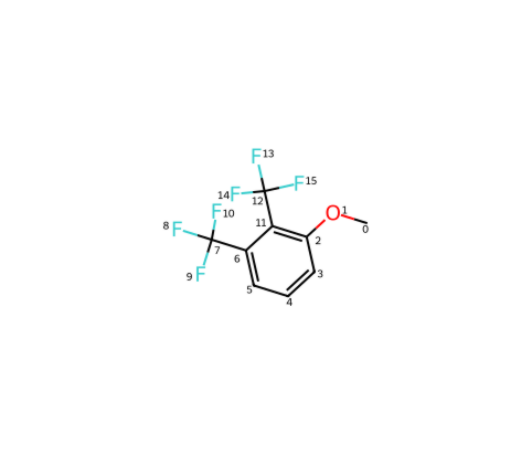 COc1cccc(C(F)(F)F)c1C(F)(F)F